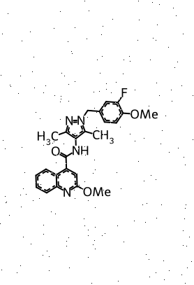 COc1cc(C(=O)Nc2c(C)nn(Cc3ccc(OC)c(F)c3)c2C)c2ccccc2n1